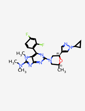 C[C@H]1CN(c2nc(-c3ccc(F)cc3F)c3c(n2)nc(N(C)C)n3C)C[C@@H](c2cnn(C3CC3)c2)O1